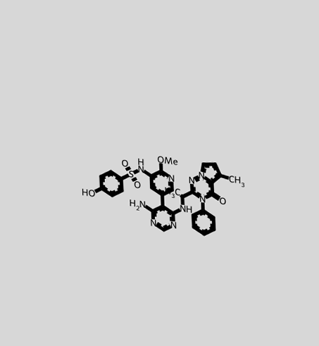 COc1ncc(-c2c(N)ncnc2NC(C)c2nn3ccc(C)c3c(=O)n2-c2ccccc2)cc1NS(=O)(=O)c1ccc(O)cc1